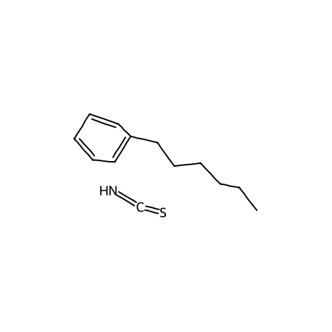 CCCCCCc1ccccc1.N=C=S